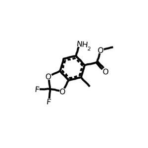 COC(=O)c1c(N)cc2c(c1C)OC(F)(F)O2